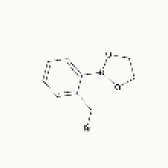 BrCc1ccccc1B1OCCO1